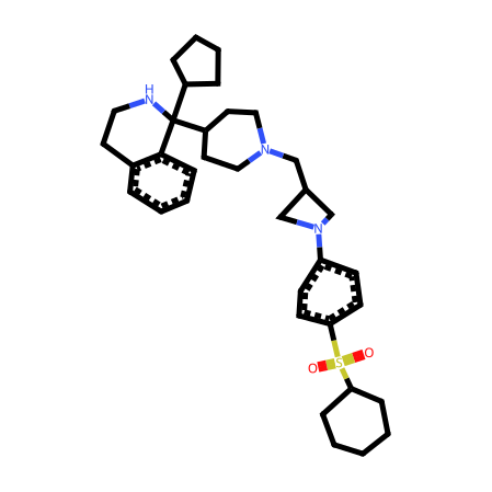 O=S(=O)(c1ccc(N2CC(CN3CCC(C4(C5CCCC5)NCCc5ccccc54)CC3)C2)cc1)C1CCCCC1